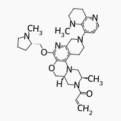 C=CC(=O)N1C[C@@H]2COc3c(OC[C@@H]4CCCN4C)nc4c(c3N2C[C@H]1C)CCN(c1ccnc2c1N(C)CCC2)C4